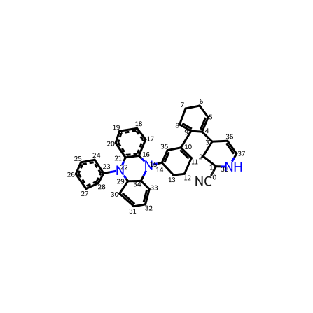 N#CC1CC(C2=CCCC=C2C2=CCCC(N3c4ccccc4N(c4ccccc4)C4C=CC=CC43)=C2)C=CN1